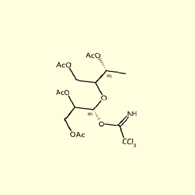 CC(=O)OCC(OC(C)=O)[C@@H](OC(=N)C(Cl)(Cl)Cl)OC(COC(C)=O)[C@@H](C)OC(C)=O